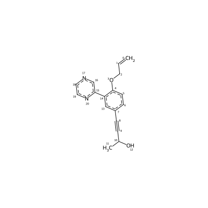 C=CCOc1ccc(C#CC(C)O)cc1-c1cnccn1